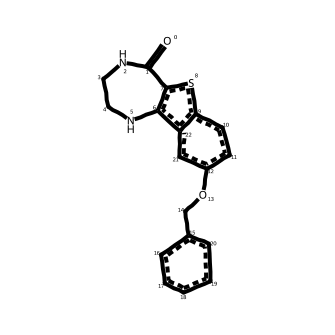 O=C1NCCNc2c1sc1ccc(OCc3ccccc3)cc21